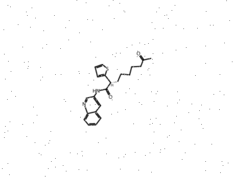 CC(=O)CCCCC[C@H](C(=O)Nc1cnc2ccccc2c1)c1cccs1